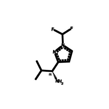 CC(C)[C@@H](N)c1ccn(C(F)F)n1